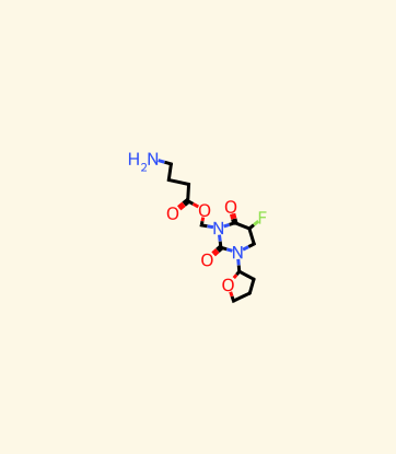 NCCCC(=O)OCN1C(=O)C(F)CN(C2CCCO2)C1=O